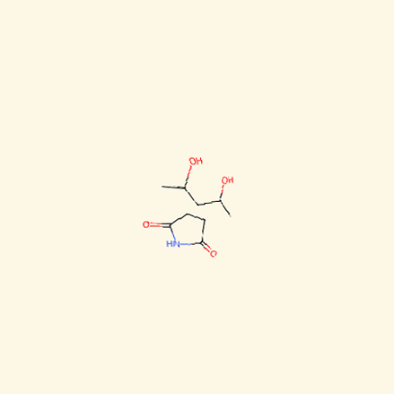 CC(O)CC(C)O.O=C1CCC(=O)N1